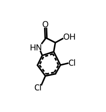 O=C1Nc2cc(Cl)cc(Cl)c2C1O